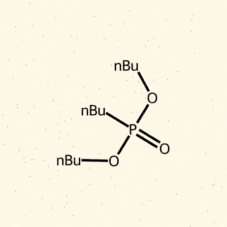 CCCCOP(=O)(CCCC)OCCCC